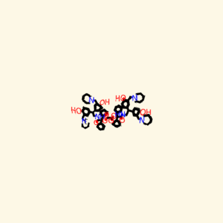 O=C(OC(C(=O)NCC(c1ccc(O)c(CN2CCCCCC2)c1)c1ccc(O)c(CN2CCCCCC2)c1)(c1ccccc1)c1ccccc1)C(=O)OC(C(=O)NCC(c1ccc(O)c(CN2CCCCCC2)c1)c1ccc(O)c(CN2CCCCCC2)c1)(c1ccccc1)c1ccccc1